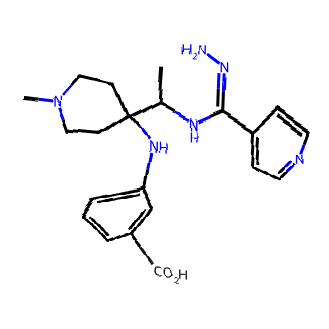 CC(N/C(=N\N)c1ccncc1)C1(Nc2cccc(C(=O)O)c2)CCN(C)CC1